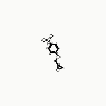 O=[SH](=O)c1ccc(OCC2CO2)cc1